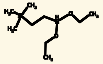 CCO[SiH](CC[Si](C)(C)C)OCC